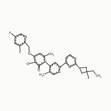 CCC1(F)CN(c2nccc(-c3cc(-n4c(C)cc(OCc5ncc(F)cc5F)c(Cl)c4=O)c(C)cn3)n2)C1